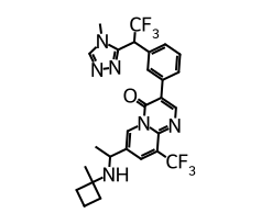 CC(NC1(C)CCC1)c1cc(C(F)(F)F)c2ncc(-c3cccc(C(c4nncn4C)C(F)(F)F)c3)c(=O)n2c1